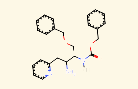 CN(C(=O)OCc1ccccc1)[C@H](COCc1ccccc1)C(N)Cc1ccccn1